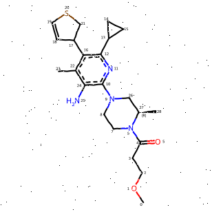 COCCC(=O)N1CCN(c2nc(C3CC3)c(C3C=CSC3)c(C)c2N)C[C@H]1C